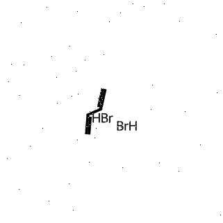 Br.Br.C=CC=C